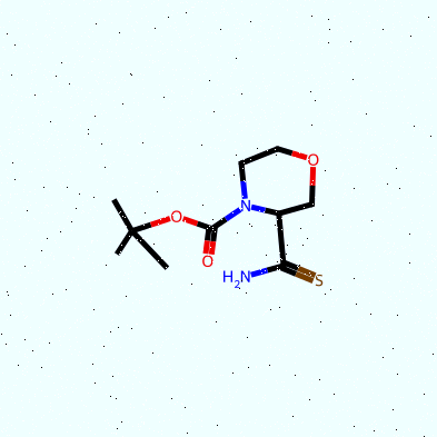 CC(C)(C)OC(=O)N1CCOCC1C(N)=S